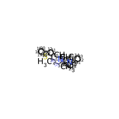 C/N=C(/C=C\C=C(/C)c1c(C)ccc2c1sc1ccccc12)C(C)(C)c1cccc(-c2ccccc2C)n1